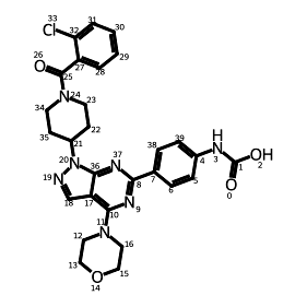 O=C(O)Nc1ccc(-c2nc(N3CCOCC3)c3cnn(C4CCN(C(=O)c5ccccc5Cl)CC4)c3n2)cc1